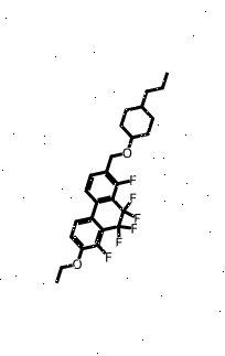 CCCC1CCC(OCc2ccc3c(c2F)C(F)(F)C(F)(F)c2c-3ccc(OCC)c2F)CC1